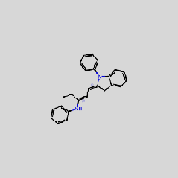 CC/C(=C\C=C1/Cc2ccccc2N1c1ccccc1)Nc1ccccc1